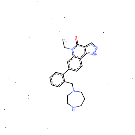 O=c1c2cn[nH]c2c2ccc(-c3ccccc3CN3CCCNCC3)cc2n1CC(F)(F)F